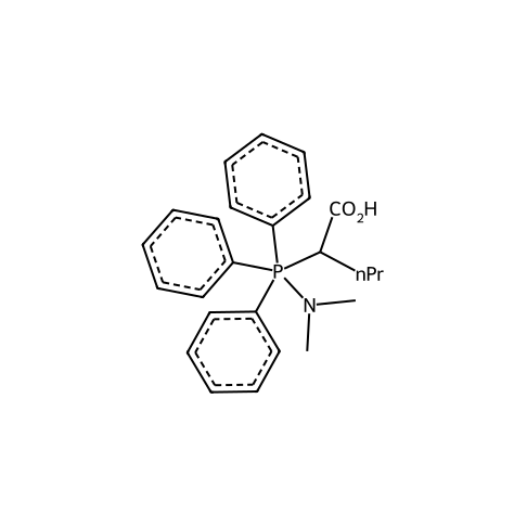 CCCC(C(=O)O)P(c1ccccc1)(c1ccccc1)(c1ccccc1)N(C)C